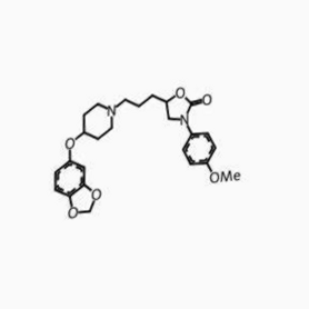 COc1ccc(N2CC(CCCN3CCC(Oc4ccc5c(c4)OCO5)CC3)OC2=O)cc1